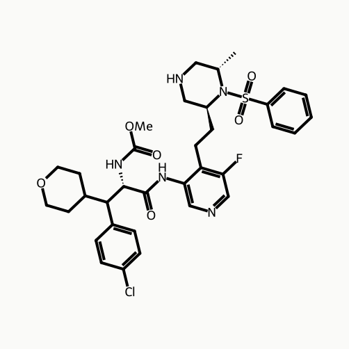 COC(=O)N[C@H](C(=O)Nc1cncc(F)c1CC[C@H]1CNC[C@H](C)N1S(=O)(=O)c1ccccc1)C(c1ccc(Cl)cc1)C1CCOCC1